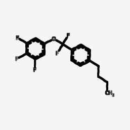 CCCCc1ccc(C(F)(F)Oc2cc(F)c(F)c(F)c2)cc1